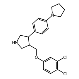 Clc1ccc(OCC2CNCC2c2ccc(N3CCCC3)cc2)cc1Cl